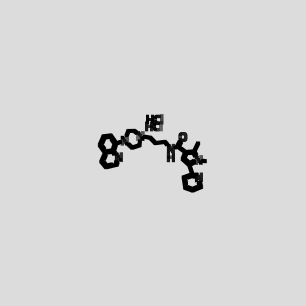 Cc1c(C(=O)NCCCN2CCN(c3cccc4cccnc34)CC2)cc(-c2ccccn2)n1C.Cl.Cl